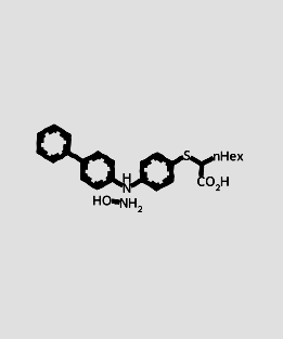 CCCCCCC(Sc1ccc(Nc2ccc(-c3ccccc3)cc2)cc1)C(=O)O.NO